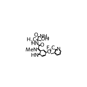 CN/C(C(=O)NC(C)(CO)C(N)=O)=C1/C=C(OCc2cccnc2C(F)(F)F)C=CC1=N